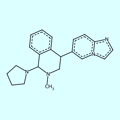 CN1CC(c2ccc3nccn3c2)c2ccccc2C1N1CCCC1